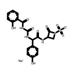 O=C(NC(=O)c1ccccc1O)NC(C(=O)NC1CN(S(=O)(=O)[O-])C1=O)c1ccc(O)cc1.[Na+]